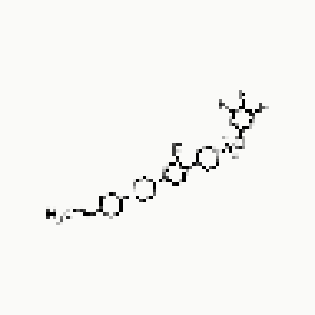 C/C=C/C1CCC(C2CCC(c3ccc(C4CCC(C(F)(F)Oc5cc(F)c(F)c(F)c5)CC4)c(F)c3)CC2)CC1